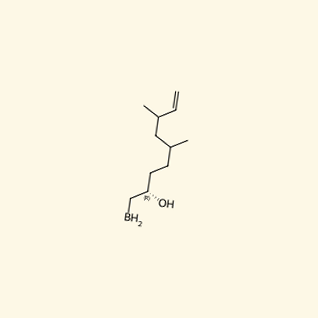 BC[C@@H](O)CCC(C)CC(C)C=C